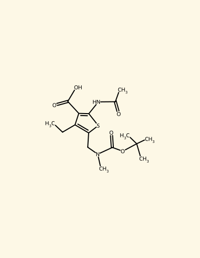 CCc1c(CN(C)C(=O)OC(C)(C)C)sc(NC(C)=O)c1C(=O)O